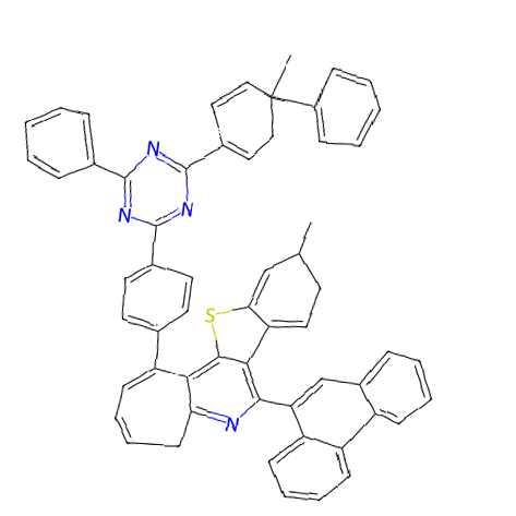 CC1C=c2sc3c4c(nc(-c5cc6ccccc6c6ccccc56)c3c2=CC1)CC=CC=C4c1ccc(-c2nc(C3=CCC(C)(c4ccccc4)C=C3)nc(-c3ccccc3)n2)cc1